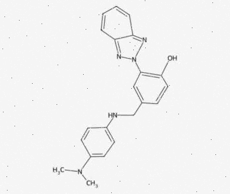 CN(C)c1ccc(NCc2ccc(O)c(-n3nc4ccccc4n3)c2)cc1